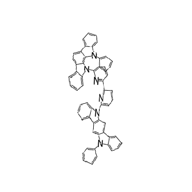 c1ccc(-n2c3ccccc3c3cc4c(cc32)c2ccccc2n4-c2cccc(-c3cccc(-n4c5ccccc5c5ccc6c7ccccc7n(-c7ccccc7)c6c54)n3)n2)cc1